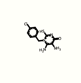 Nc1c(N)n(Cc2ccc(Cl)cc2)c(S)nc1=O